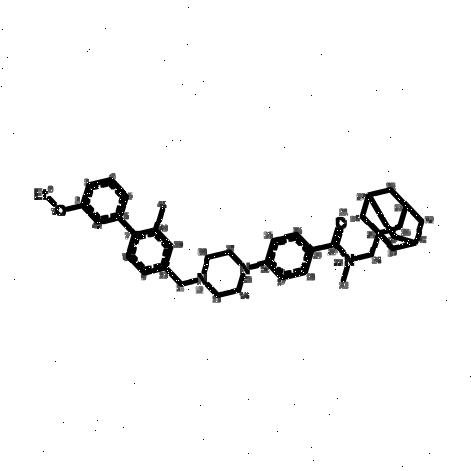 CCOc1cccc(-c2ccc(CN3CCN(c4ccc(C(=O)N(C)CC56CC7CC(CC(C7)C5)C6)cc4)CC3)cc2C)c1